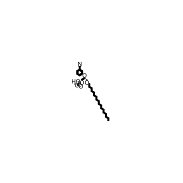 CCCCCCCCCCCCCCCCCCOC[C@H](COP(=O)(O)OC)Oc1cccc(C#N)c1